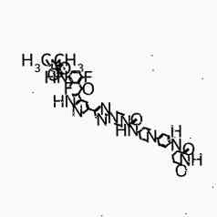 CCN(C)S(=O)(=O)Nc1ccc(F)c(C(=O)c2c[nH]c3ncc(-c4cnc(N5CCN(C(=O)NC6CCN(c7ccc(NC8CCC(=O)NC8=O)cc7)CC6)CC5)nc4)cc23)c1F